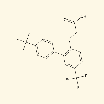 CC(C)(C)c1ccc(-c2cc(C(F)(F)F)ccc2OCC(=O)O)cc1